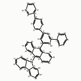 c1ccc(-c2nc(-c3ccc(-c4cccnc4)cc3)cc(-c3c4ccccc4c(-n4c5ccccc5c5ccccc54)c4ccccc34)n2)cc1